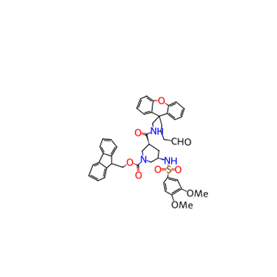 COc1ccc(S(=O)(=O)N[C@@H]2C[C@H](C(=O)NCC3(CCCC=O)c4ccccc4Oc4ccccc43)CN(C(=O)OCC3c4ccccc4-c4ccccc43)C2)cc1OC